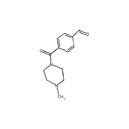 CN1CCN(C(=O)c2ccc(C=O)cc2)CC1